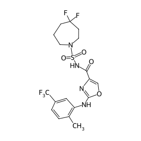 Cc1ccc(C(F)(F)F)cc1Nc1nc(C(=O)NS(=O)(=O)N2CCCC(F)(F)CC2)co1